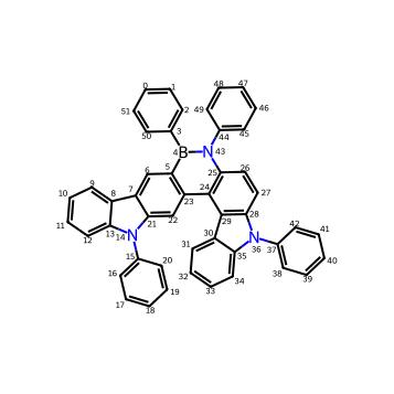 c1ccc(B2c3cc4c5ccccc5n(-c5ccccc5)c4cc3-c3c(ccc4c3c3ccccc3n4-c3ccccc3)N2c2ccccc2)cc1